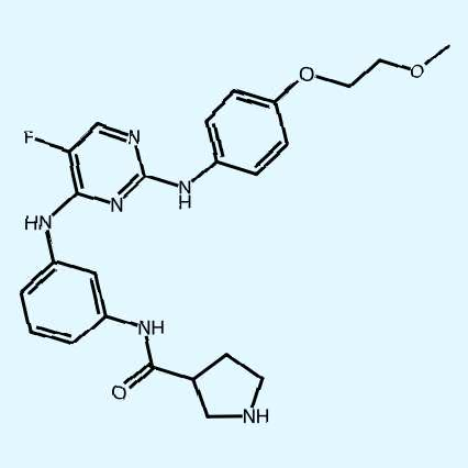 COCCOc1ccc(Nc2ncc(F)c(Nc3cccc(NC(=O)C4CCNC4)c3)n2)cc1